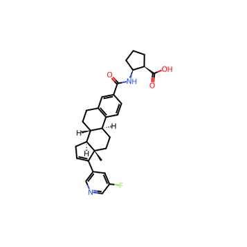 C[C@]12CC[C@@H]3c4ccc(C(=O)N[C@H]5CCC[C@H]5C(=O)O)cc4CC[C@H]3[C@@H]1CC=C2c1cncc(F)c1